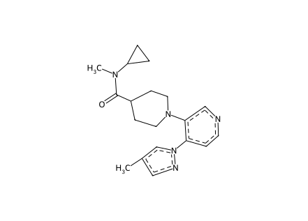 Cc1cnn(-c2ccncc2N2CCC(C(=O)N(C)C3CC3)CC2)c1